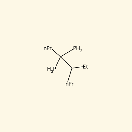 CCCC(CC)C(P)(P)CCC